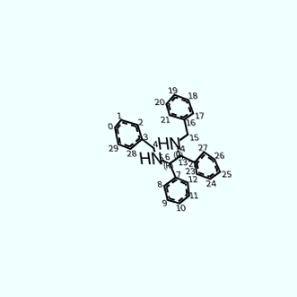 c1ccc(CN[C@H](c2ccccc2)[C@H](NCc2ccccc2)c2ccccc2)cc1